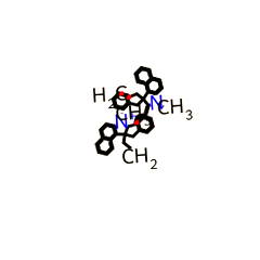 C=CCC1(Cc2ccccc2)C(/C=C/C=C2/N(C)c3ccc4ccccc4c3C2(CC=C)Cc2ccccc2)=[N+](C)c2ccc3ccccc3c21